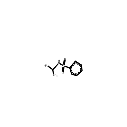 C[C](C)C(C)NS(=O)(=O)c1ccccc1